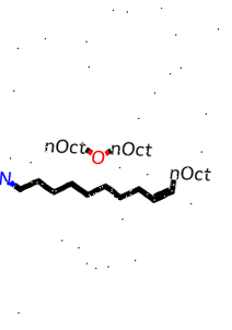 CCCCCCCC/C=C\CCCCCCCCN.CCCCCCCCOCCCCCCCC